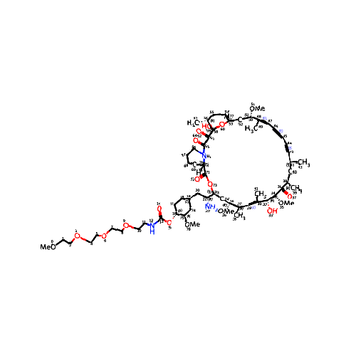 COCCOCCOCCOCCNC(=O)O[C@@H]1CC[C@@H](C[C@@H](N)[C@@H]2C[C@@H](OC)[C@H](C)/C=C(\C)[C@@H](O)[C@@H](OC)C(=O)[C@H](C)C[C@H](C)/C=C/C=C/C=C(\C)[C@@H](OC)C[C@@H]3CC[C@@H](C)[C@@](O)(O3)C(=O)C(=O)N3CCCC[C@H]3C(=O)O2)C[C@H]1OC